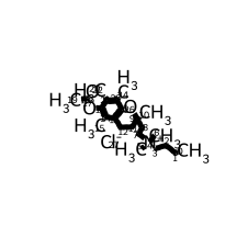 CCCC[N+](C)(C)CCC1(C)CCc2c(C)c(OC(C)=O)c(C)c(C)c2O1.[Cl-]